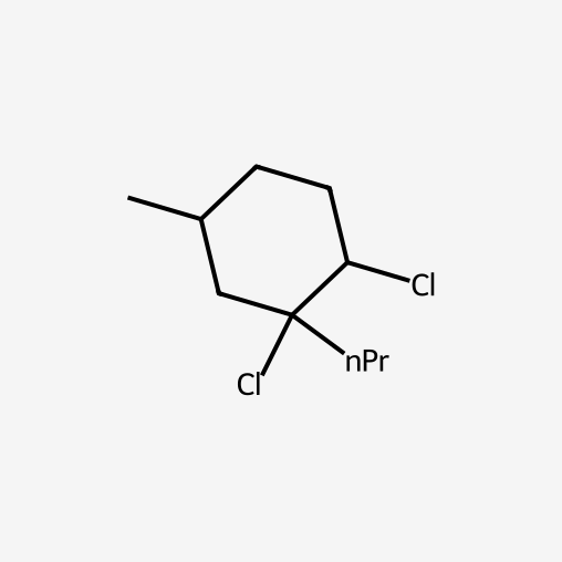 CCCC1(Cl)CC(C)CCC1Cl